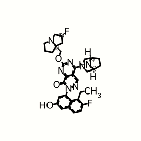 CCc1c(F)ccc2cc(O)cc(-n3ncc4c(N5C[C@H]6CC[C@@H](C5)N6)nc(OC[C@@]56CCCN5C[C@H](F)C6)nc4c3=O)c12